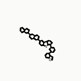 c1cc(-c2cccc3occc23)cc(-c2cccc3c2sc2ccc(-c4ccc5cc(-c6ccc7ccccc7c6)ccc5c4)cc23)c1